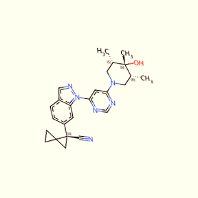 C[C@@H]1CN(c2cc(-n3ncc4ccc([C@]5(C#N)CC56CC6)cc43)ncn2)C[C@H](C)[C@]1(C)O